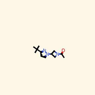 CC(=O)N1CC(n2ccc(C(C)(C)C)n2)C1